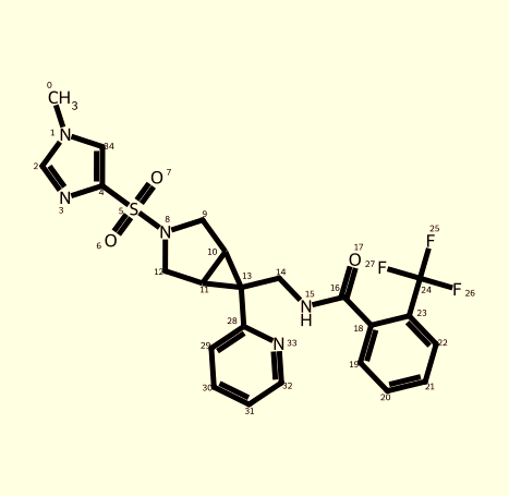 Cn1cnc(S(=O)(=O)N2CC3C(C2)C3(CNC(=O)c2ccccc2C(F)(F)F)c2ccccn2)c1